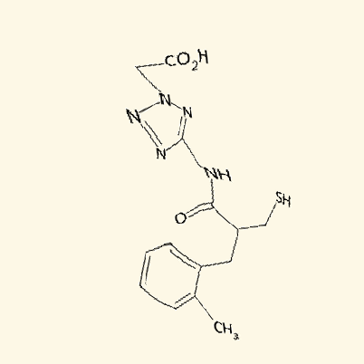 Cc1ccccc1CC(CS)C(=O)Nc1nnn(CC(=O)O)n1